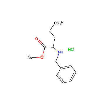 CC(C)(C)OC(=O)C(CCC(=O)O)NCc1ccccc1.Cl